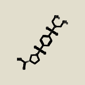 CCN(CC)S(=O)(=O)c1ccc(S(=O)(=O)N2CC[C@H](C(=O)O)C2)cc1